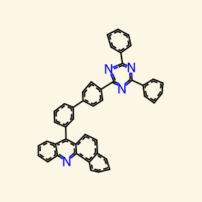 c1ccc(-c2nc(-c3ccccc3)nc(-c3ccc(-c4cccc(-c5c6ccccc6nc6c5ccc5ccccc56)c4)cc3)n2)cc1